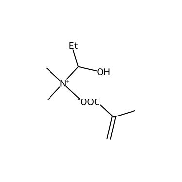 C=C(C)C(=O)[O-].CCC(O)[N+](C)(C)C